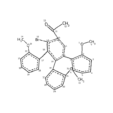 COc1ccccc1-c1cc(C(C)=O)c(Br)c(-c2ccccc2OC)c1-c1ccccc1OC